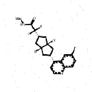 CC(C)(C)NC(=O)C(F)(F)[C@H]1C[C@H]2C[C@@H](c3ccnc4ccc(F)cc34)C[C@H]2C1